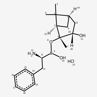 CC1(C)[C@@H]2C[C@H]1[C@@](C)(OB(O)[C@H](N)Cc1ccccc1)[C@@H](O)C2.Cl